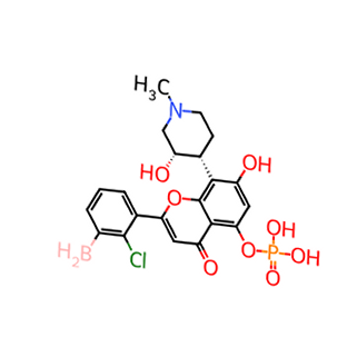 Bc1cccc(-c2cc(=O)c3c(OP(=O)(O)O)cc(O)c([C@H]4CCN(C)C[C@H]4O)c3o2)c1Cl